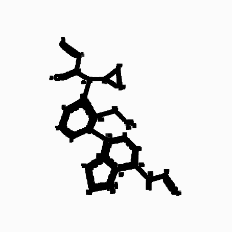 C=CC(=O)N(c1cccc(-c2ccc(NC=O)c3[nH]ccc23)c1CN)C1CC1